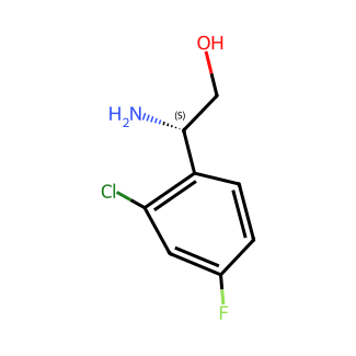 N[C@H](CO)c1ccc(F)cc1Cl